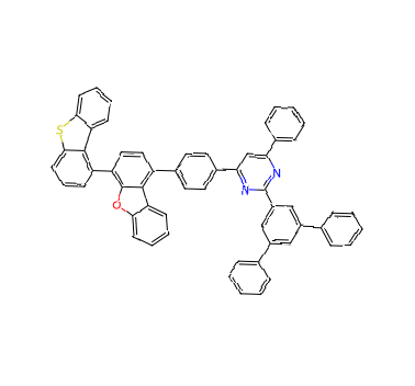 c1ccc(-c2cc(-c3ccccc3)cc(-c3nc(-c4ccccc4)cc(-c4ccc(-c5ccc(-c6cccc7sc8ccccc8c67)c6oc7ccccc7c56)cc4)n3)c2)cc1